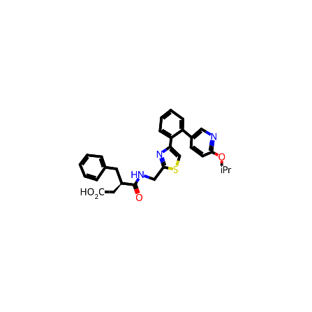 CC(C)Oc1ccc(-c2ccccc2-c2csc(CNC(=O)[C@@H](CC(=O)O)Cc3ccccc3)n2)cn1